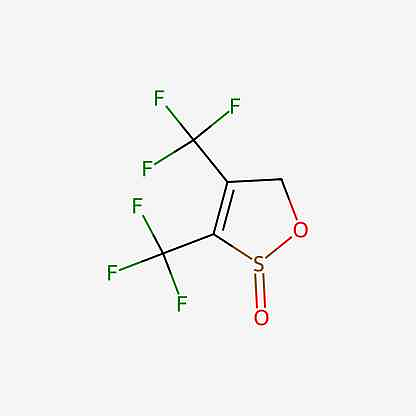 O=S1OCC(C(F)(F)F)=C1C(F)(F)F